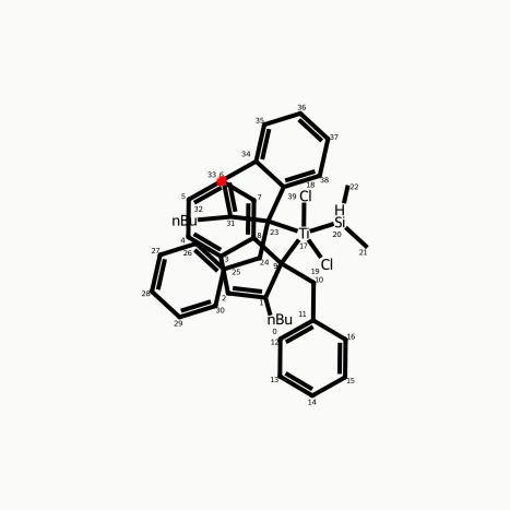 CCCCC1=Cc2ccccc2[C]1(Cc1ccccc1)[Ti]([Cl])([Cl])([SiH](C)C)[C]1(Cc2ccccc2)C(CCCC)=Cc2ccccc21